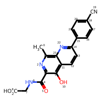 Cc1nc(C(=O)NCC(=O)O)c(O)c2ccc(-c3ccc(C#N)cc3)nc12